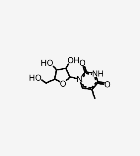 Cc1cn(C2OC(CO)C(O)C2O)c(=O)[nH]c1=O